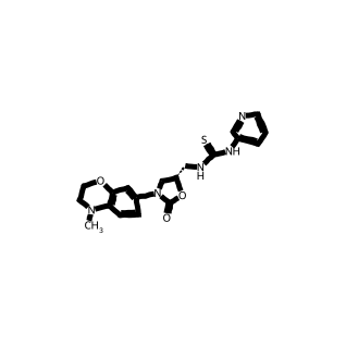 CN1CCOc2cc(N3C[C@H](CNC(=S)Nc4cccnc4)OC3=O)ccc21